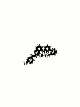 CC(C)n1cnnc1-c1cccc(Nc2cccc3c2C(=O)N(CCN2CCNCC2)C3)n1